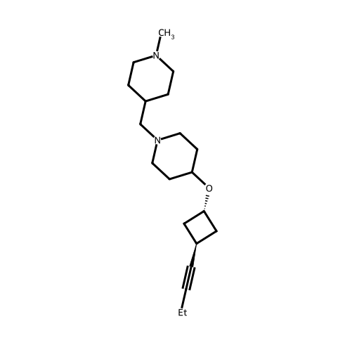 CCC#C[C@H]1C[C@H](OC2CCN(CC3CCN(C)CC3)CC2)C1